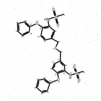 CS(=O)(=O)Nc1cc(CSCc2ccc(Oc3ccccc3)c(NS(C)(=O)=O)c2)ccc1Oc1ccccc1